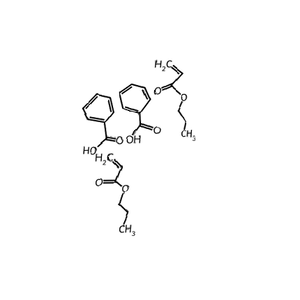 C=CC(=O)OCCC.C=CC(=O)OCCC.O=C(O)c1ccccc1.O=C(O)c1ccccc1